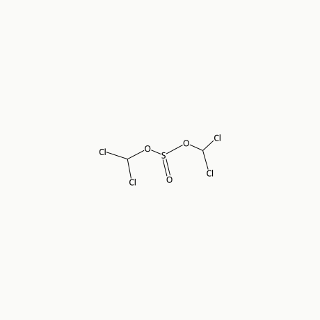 O=S(OC(Cl)Cl)OC(Cl)Cl